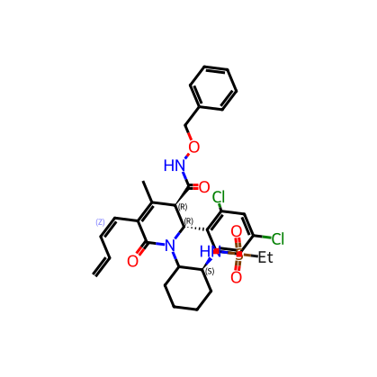 C=C/C=C\C1=C(C)[C@@H](C(=O)NOCc2ccccc2)[C@H](c2ccc(Cl)cc2Cl)N(C2CCCC[C@@H]2NS(=O)(=O)CC)C1=O